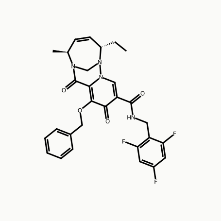 CC[C@H]1C=C[C@H](C)N2CN1n1cc(C(=O)NCc3c(F)cc(F)cc3F)c(=O)c(OCc3ccccc3)c1C2=O